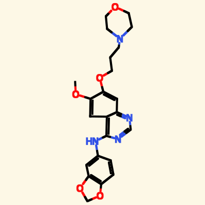 COc1cc2c(Nc3ccc4c(c3)OCO4)ncnc2cc1OCCCN1CCOCC1